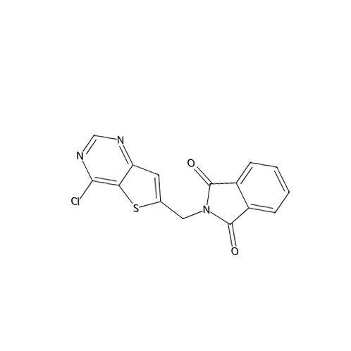 O=C1c2ccccc2C(=O)N1Cc1cc2ncnc(Cl)c2s1